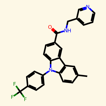 Cc1ccc2c(c1)c1cc(C(=O)NCc3cccnc3)ccc1n2-c1ccc(C(F)(F)F)cc1